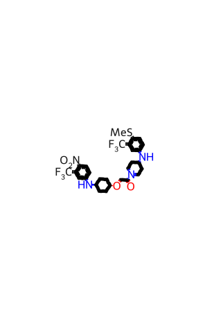 CSc1ccc(NC2CCN(C(=O)CO[C@H]3CC[C@H](Nc4ccc([N+](=O)[O-])c(C(F)(F)F)c4)CC3)CC2)cc1C(F)(F)F